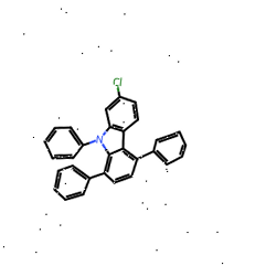 Clc1ccc2c3c(-c4ccccc4)ccc(-c4ccccc4)c3n(-c3ccccc3)c2c1